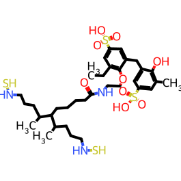 CCc1cc(S(=O)(=O)O)cc(Cc2cc(S(=O)(=O)O)cc(C)c2O)c1OCCNC(=O)CCCCC(C(C)CCCNS)C(C)CCCNS